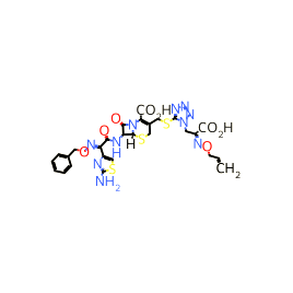 C=CCO/N=C(/Cn1nnnc1SCC1=C(C(=O)O)N2C(=O)C(NC(=O)/C(=N/OCc3ccccc3)c3csc(N)n3)[C@H]2SC1)C(=O)O